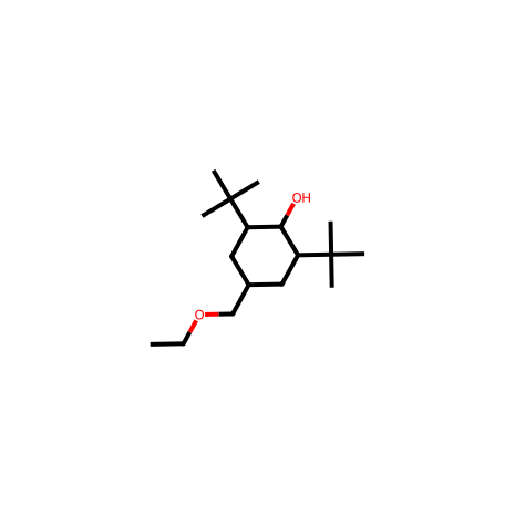 CCOCC1CC(C(C)(C)C)C(O)C(C(C)(C)C)C1